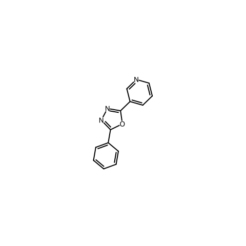 c1ccc(-c2nnc(-c3cccnc3)o2)cc1